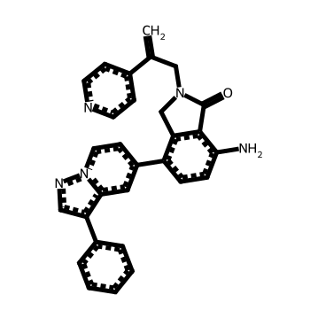 C=C(CN1Cc2c(-c3ccn4ncc(-c5ccccc5)c4c3)ccc(N)c2C1=O)c1ccncc1